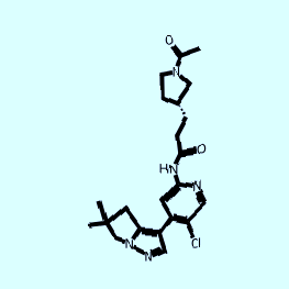 CC(=O)N1CC[C@@H](CCC(=O)Nc2cc(-c3cnn4c3CC(C)(C)C4)c(Cl)cn2)C1